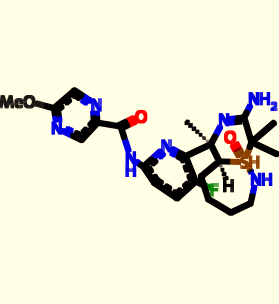 COc1cnc(C(=O)Nc2ccc(F)c([C@@]3(C)N=C(N)C(C)(C)[SH]4(=O)NCCCC[C@@H]34)n2)cn1